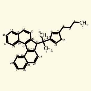 CCCCC1=CC(C(C)(C)C2c3ccc4ccccc4c3-c3c2ccc2ccccc32)=CC1